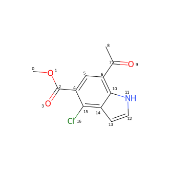 COC(=O)c1cc(C(C)=O)c2[nH]ccc2c1Cl